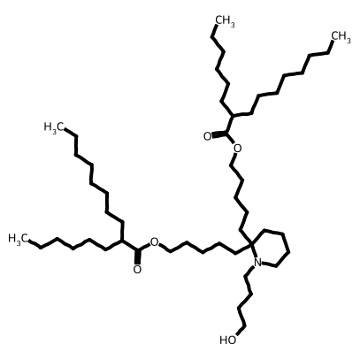 CCCCCCCCC(CCCCCC)C(=O)OCCCCCC1(CCCCCOC(=O)C(CCCCCC)CCCCCCCC)CCCCN1CCCCO